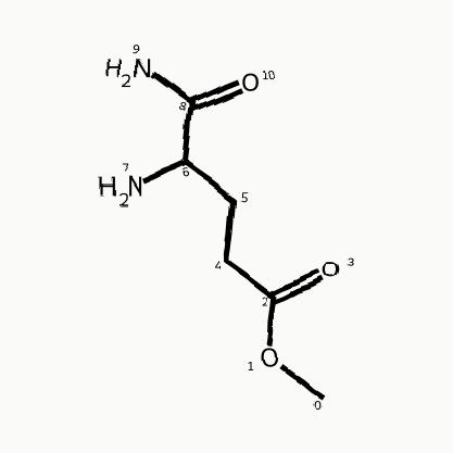 COC(=O)CCC(N)C(N)=O